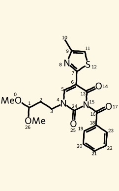 COC(CCn1cc(-c2nc(C)cs2)c(=O)n(C(=O)c2ccccc2)c1=O)OC